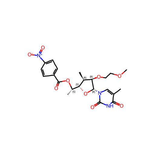 COCCO[C@@H]1[C@H](C)[C@@H]([C@H](C)OC(=O)c2ccc([N+](=O)[O-])cc2)O[C@H]1n1cc(C)c(=O)[nH]c1=O